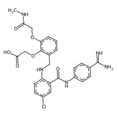 CNC(=O)COc1cccc(CNc2ccc(Cl)cc2C(=O)Nc2ccc(C(=N)N)cc2)c1OCC(=O)O